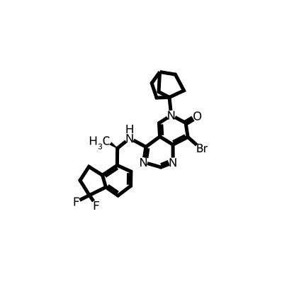 C[C@@H](Nc1ncnc2c(Br)c(=O)n(C34CCC(CC3)C4)cc12)c1cccc2c1CCC2(F)F